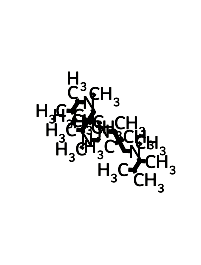 CC(C)C(C)N(C)CC(C)(C)C(C)N(C)CN(C)C(C)C(C)(C)CN(C)C(C)C(C)C